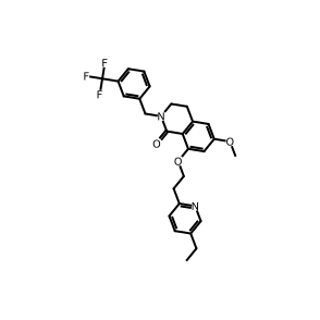 CCc1ccc(CCOc2cc(OC)cc3c2C(=O)N(Cc2cccc(C(F)(F)F)c2)CC3)nc1